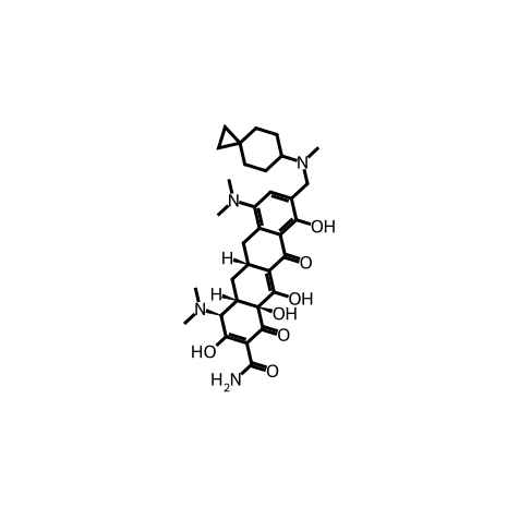 CN(C)c1cc(CN(C)C2CCC3(CC2)CC3)c(O)c2c1C[C@H]1C[C@H]3[C@H](N(C)C)C(O)=C(C(N)=O)C(=O)[C@@]3(O)C(O)=C1C2=O